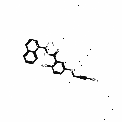 CC#CCNc1ccc(C)c(C(=O)N[C@H](C)c2cccc3ccccc23)c1